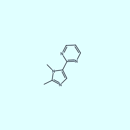 Cc1ncc(-c2ncccn2)n1C